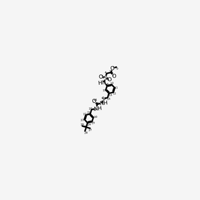 COC(=O)CS(=O)(=O)Nc1cccc(CSNC(=O)NCc2ccc(C(C)(C)C)cc2)c1